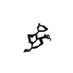 COc1ccc([N+](=O)[O-])c2c(-c3cccnc3)ccnc12